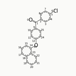 O=C(c1ccc(Cl)cc1)c1ccc(Oc2cccc3ccccc23)cc1